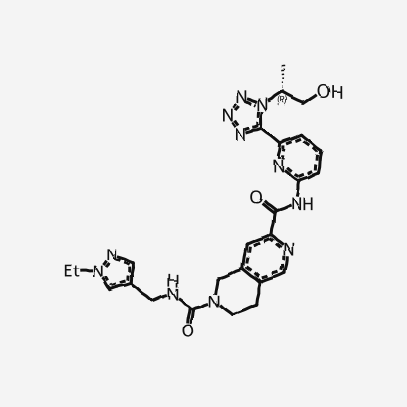 CCn1cc(CNC(=O)N2CCc3cnc(C(=O)Nc4cccc(-c5nnnn5[C@H](C)CO)n4)cc3C2)cn1